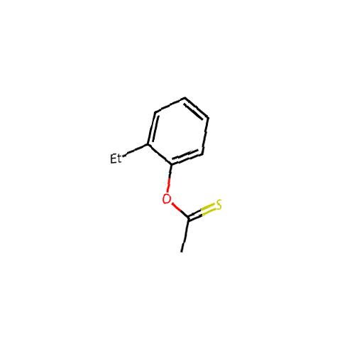 CCc1ccccc1OC(C)=S